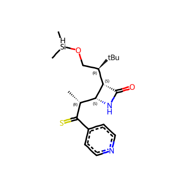 C[C@@H](C(=S)c1ccncc1)[C@H]1NC(=O)[C@H]1[C@@H](CO[SiH](C)C)C(C)(C)C